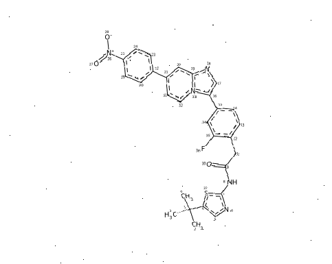 CC(C)(C)c1cnc(NC(=O)Cc2ccc(-c3cnc4cc(-c5ccc([N+](=O)[O-])cc5)ccn34)cc2F)s1